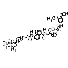 COc1ccc(CNC(=O)C(=O)[C@@H]2CCCN2C(=O)CNC(=O)c2ccnc3c(NC(=O)CCCN4CCN(C(=O)OC(C)(C)C)CC4)cccc23)cc1OC